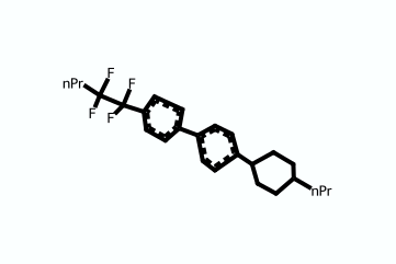 CCCC1CCC(c2ccc(-c3ccc(C(F)(F)C(F)(F)CCC)cc3)cc2)CC1